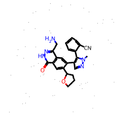 Cn1ncc(-c2cc3c(CN)n[nH]c(=O)c3cc2C2CCCO2)c1-c1ccccc1C#N